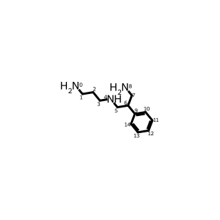 NCCCNCC(CN)c1ccccc1